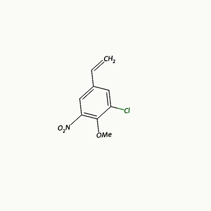 C=Cc1cc(Cl)c(OC)c([N+](=O)[O-])c1